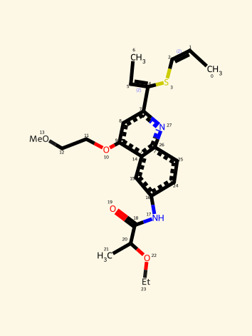 C/C=C\S/C(=C\C)c1cc(OCCOC)c2cc(NC(=O)C(C)OCC)ccc2n1